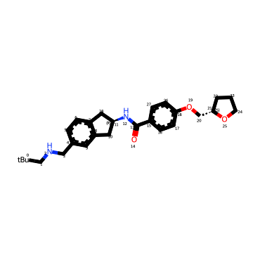 CC(C)(C)CNCc1ccc2c(c1)C[C@H](NC(=O)c1ccc(OC[C@@H]3CCCO3)cc1)C2